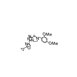 COc1ccc(CN2CCn3c(-c4coc(C5CC5)n4)nnc3[C@@H]2C)c(OC)c1